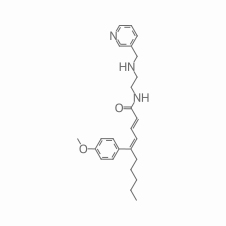 CCCCCC(=CC=CC(=O)NCCNCc1cccnc1)c1ccc(OC)cc1